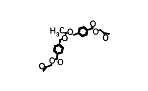 CC(OCc1ccc(C(=O)OCC2CO2)cc1)OCc1ccc(C(=O)OCC2CO2)cc1